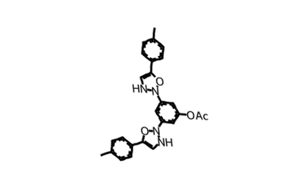 CC(=O)Oc1cc(N2NC=C(c3ccc(C)cc3)O2)cc(N2NC=C(c3ccc(C)cc3)O2)c1